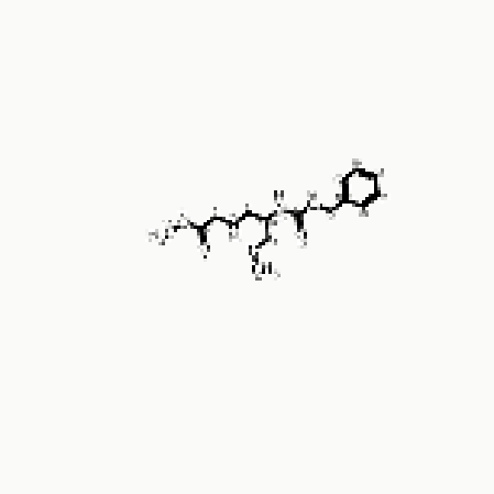 COC[C@@H](CNCC(=O)OC)NC(=O)OCc1ccccc1